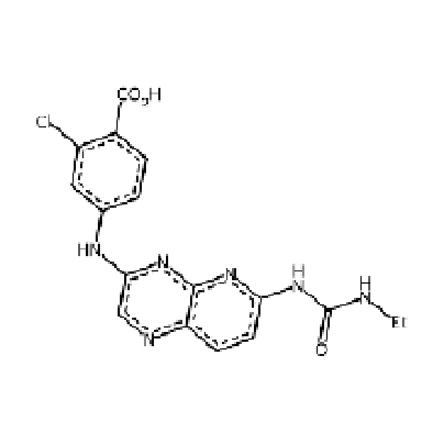 CCNC(=O)Nc1ccc2ncc(Nc3ccc(C(=O)O)c(Cl)c3)nc2n1